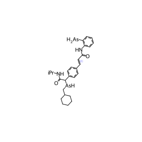 CC(C)NC(=O)C([AsH]CC1CCCCC1)c1ccc(/C=C/C(=O)Nc2ccccc2[AsH2])cc1